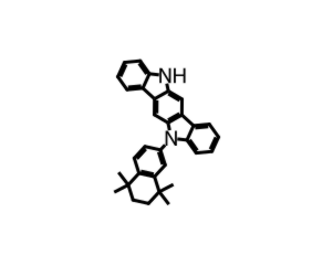 CC1(C)CCC(C)(C)c2cc(-n3c4ccccc4c4cc5[nH]c6ccccc6c5cc43)ccc21